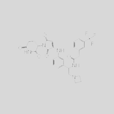 O=C1CCC(N2C(=O)C=C(Nc3cccc(C(CN4CCC4)NC(=O)Cc4cccc(C(F)(F)F)c4)c3)C2=O)C(=O)N1